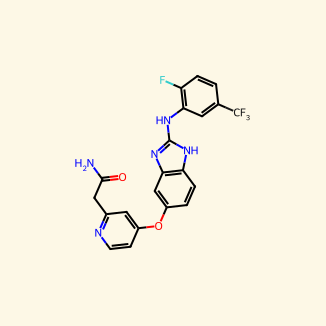 NC(=O)Cc1cc(Oc2ccc3[nH]c(Nc4cc(C(F)(F)F)ccc4F)nc3c2)ccn1